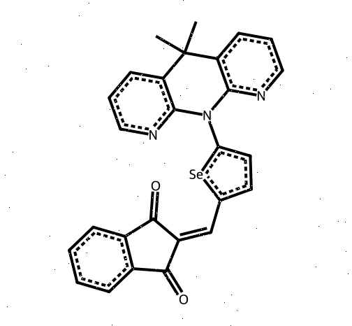 CC1(C)c2cccnc2N(c2ccc(C=C3C(=O)c4ccccc4C3=O)[se]2)c2ncccc21